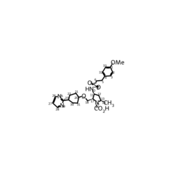 COc1ccc(CCS(=O)(=O)N[C@H]2C[C@@H](C)N(C(=O)O)[C@H]2COC2CCC(c3ncccn3)CC2)cc1